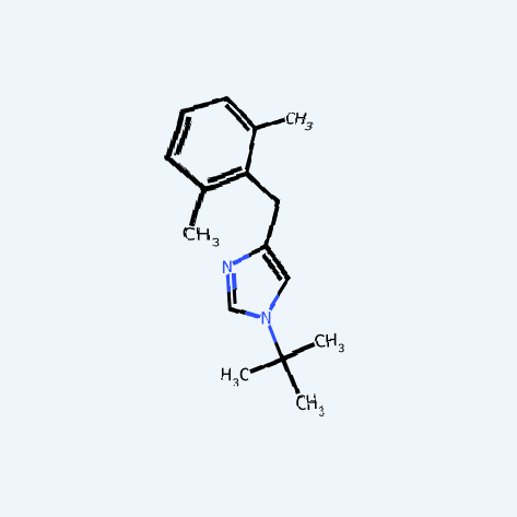 Cc1cccc(C)c1Cc1cn(C(C)(C)C)cn1